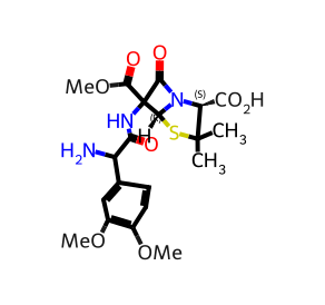 COC(=O)C1(NC(=O)C(N)c2ccc(OC)c(OC)c2)C(=O)N2[C@@H](C(=O)O)C(C)(C)S[C@@H]21